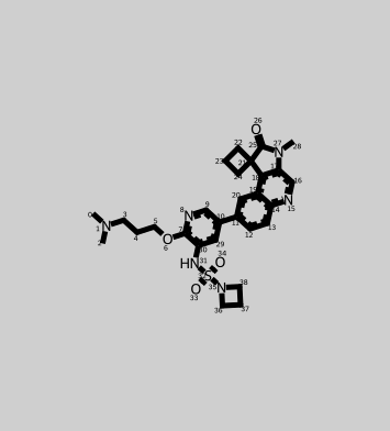 CN(C)CCCOc1ncc(-c2ccc3ncc4c(c3c2)C2(CCC2)C(=O)N4C)cc1NS(=O)(=O)N1CCC1